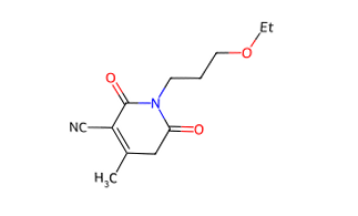 CCOCCCN1C(=O)CC(C)=C(C#N)C1=O